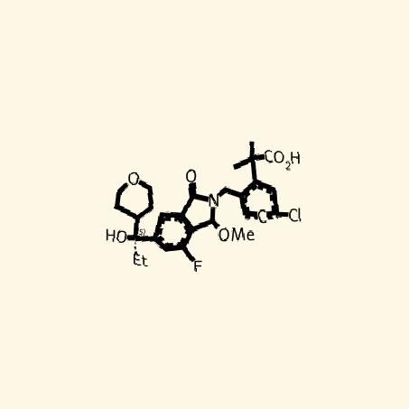 CC[C@@](O)(c1cc(F)c2c(c1)C(=O)N(Cc1ccc(Cl)cc1C(C)(C)C(=O)O)C2OC)C1CCOCC1